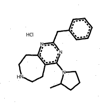 CC1CCCN1c1nc(Cc2ccccc2)nc2c1CCNCC2.Cl